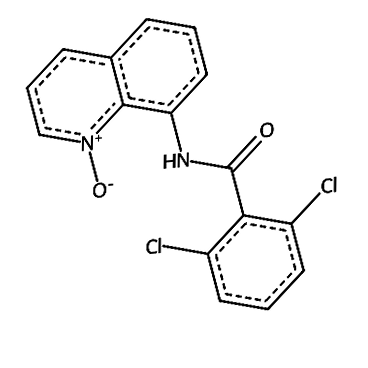 O=C(Nc1cccc2ccc[n+]([O-])c12)c1c(Cl)cccc1Cl